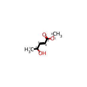 COC(=O)/C=C/C(C)O